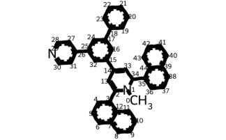 CN1C(c2cccc3ccccc23)=CC(c2cc(-c3ccccc3)cc(-c3ccncc3)c2)=CC1c1cccc2ccccc12